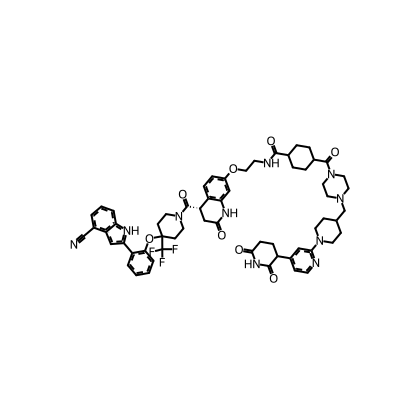 N#Cc1cccc2[nH]c(-c3ccccc3OC3(C(F)(F)F)CCN(C(=O)[C@H]4CC(=O)Nc5cc(OCCNC(=O)C6CCC(C(=O)N7CCN(CC8CCN(c9cc(C%10CCC(=O)NC%10=O)ccn9)CC8)CC7)CC6)ccc54)CC3)cc12